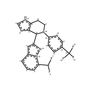 FC(F)c1cccc2cc(C3c4nc[nH]c4CCN3c3ccc(C(F)(F)F)cn3)nn12